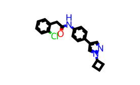 O=C(Cc1ccccc1Cl)Nc1ccc(-c2cnn(C3CCC3)c2)cc1